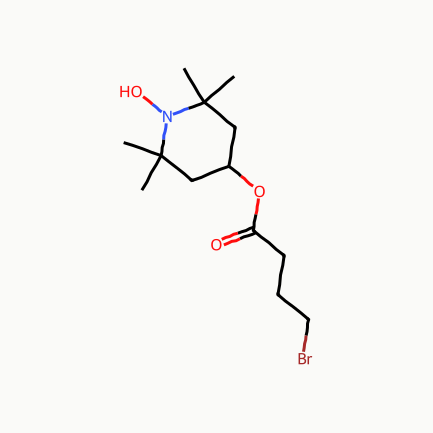 CC1(C)CC(OC(=O)CCCBr)CC(C)(C)N1O